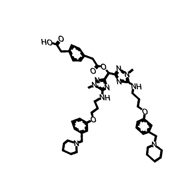 Cn1nc(C(OC(=O)Cc2ccc(CC(=O)O)cc2)c2nc(NCCCOc3cccc(CN4CCCCC4)c3)n(C)n2)nc1NCCCOc1cccc(CN2CCCCC2)c1